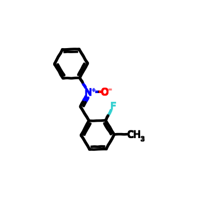 Cc1cccc(C=[N+]([O-])c2ccccc2)c1F